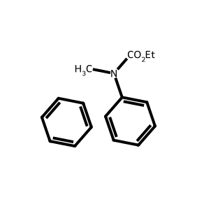 CCOC(=O)N(C)c1ccccc1.c1ccccc1